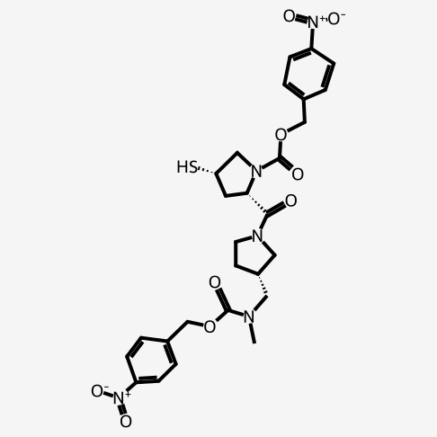 CN(C[C@@H]1CCN(C(=O)[C@@H]2C[C@H](S)CN2C(=O)OCc2ccc([N+](=O)[O-])cc2)C1)C(=O)OCc1ccc([N+](=O)[O-])cc1